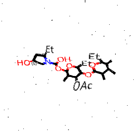 CCC1OC(OC2C(CC)OC(OC(O)N3C[C@@H](O)C[C@H]3CC)C(C)C2OC(C)=O)C(C)C(C)C1C